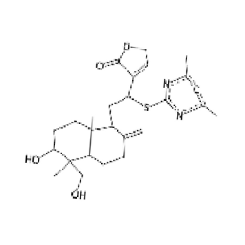 C=C1CCC2C(C)(CO)C(O)CCC2(C)C1CC(Sc1nc(C)cc(C)n1)C1=CCOC1=O